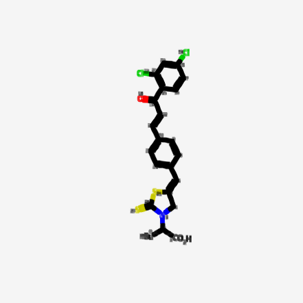 CCCCC(C(=O)O)N1CC(=Cc2ccc(/C=C/C(=O)c3ccc(Cl)cc3Cl)cc2)SC1=S